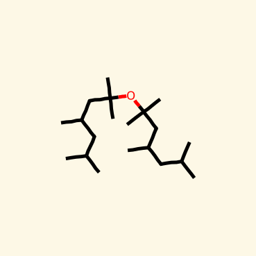 CC(C)CC(C)CC(C)(C)OC(C)(C)CC(C)CC(C)C